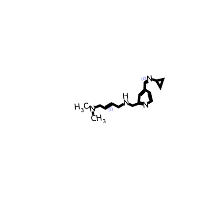 CN(C)C/C=C/CNCc1cc(/C=N\C2CC2)ccn1